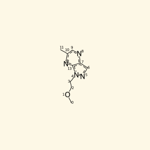 COCCn1ncc2ncc(C)nc21